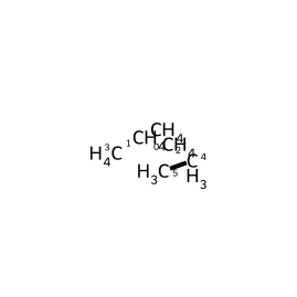 C.C.C.C.CC